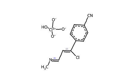 C/N=C/C=C(\Cl)c1ccc(C#N)cc1.[O-][Cl+3]([O-])([O-])O